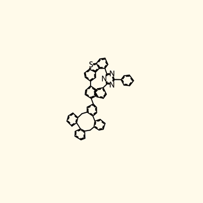 c1ccc(-c2nc(-c3ccccc3)nc(-c3cccc4sc5ccc(-c6ccc(-c7ccc8c(c7)Cc7ccccc7-c7ccccc7Cc7ccccc7-8)cc6)cc5c34)n2)cc1